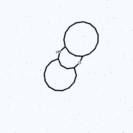 C1CCCCCC2CCC(CCCCC1)OC1CCCCCCCCCCC(CC1)N2